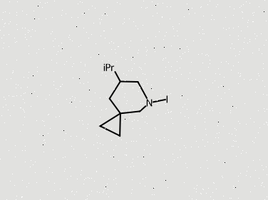 CC(C)C1CN(I)CC2(CC2)C1